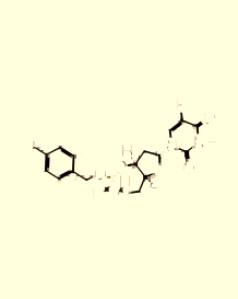 O=c1[nH]c(=O)n([C@H]2C[C@@H]3O[PH](O)(OCc4ccc(Cl)cc4)OC[C@H]3O2)cc1F